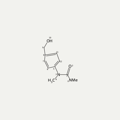 CNC(=O)N(C)c1ccc(CO)cc1